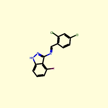 Clc1ccc(C=Nc2n[nH]c3cccc(I)c23)c(Cl)c1